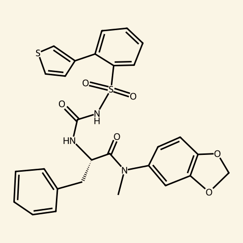 CN(C(=O)[C@H](Cc1ccccc1)NC(=O)NS(=O)(=O)c1ccccc1-c1ccsc1)c1ccc2c(c1)OCO2